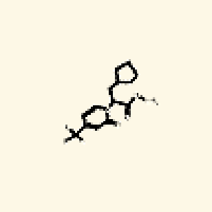 COC(=O)C(CC1CCCC1)n1ccc(C(F)(F)F)cc1=O